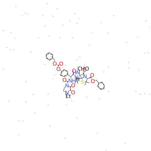 CCN1CCN(C(=O)NC(C(=O)N[C@]2(NC=O)C(=O)N3[C@@H](C(=O)OCc4ccccc4)C(C)(C)S[C@@H]32)c2ccc(OC(=O)OCc3ccccc3)cc2)C(=O)C1=O